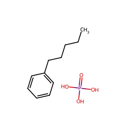 CCCCCc1ccccc1.O=P(O)(O)O